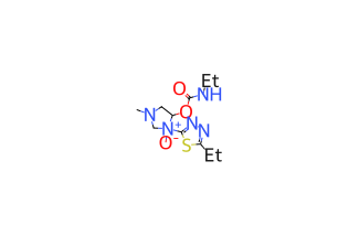 CCNC(=O)OC1CN(C)C[N+]1([O-])c1nnc(CC)s1